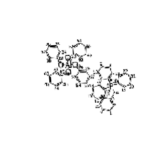 c1ccc(C[P+](c2ccccc2)(c2ccccc2)c2ccccc2)cc1.c1ccc([O][Al-]([O]c2ccccc2)([O]c2ccccc2)[O]c2ccccc2)cc1